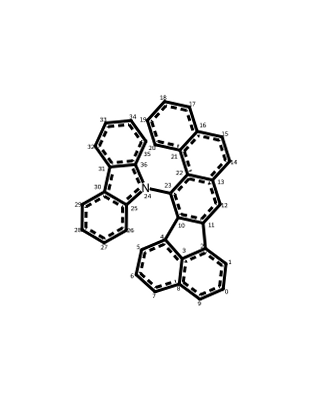 c1cc2c3c(cccc3c1)-c1c-2cc2ccc3ccccc3c2c1-n1c2ccccc2c2ccccc21